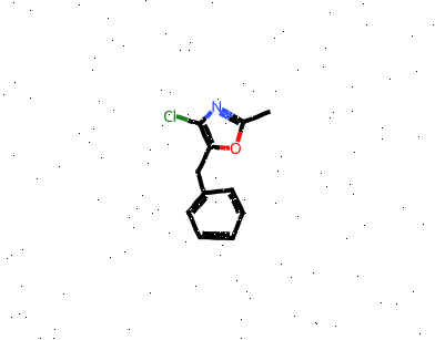 Cc1nc(Cl)c(Cc2ccccc2)o1